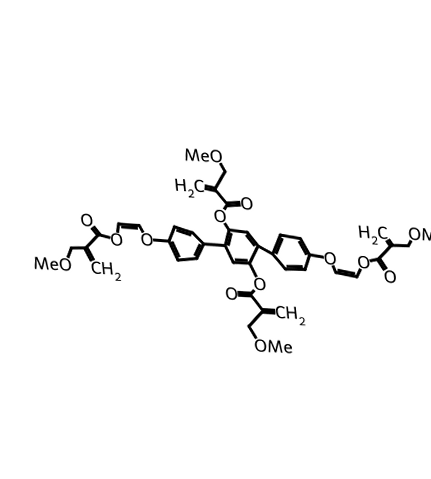 C=C(COC)C(=O)O/C=C\Oc1ccc(-c2cc(OC(=O)C(=C)COC)c(-c3ccc(O/C=C\OC(=O)C(=C)COC)cc3)cc2OC(=O)C(=C)COC)cc1